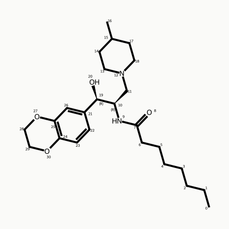 CCCCCCCC(=O)N[C@H](CN1CCC(C)CC1)[C@H](O)c1ccc2c(c1)OCCO2